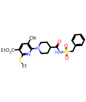 CCOC(=O)c1cc(C#N)c(N2CCC(C(=O)NS(=O)(=O)Cc3ccccc3)CC2)nc1SCC